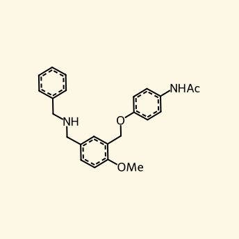 COc1ccc(CNCc2ccccc2)cc1COc1ccc(NC(C)=O)cc1